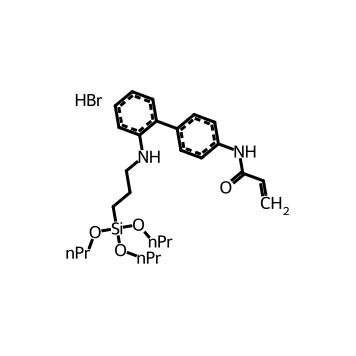 Br.C=CC(=O)Nc1ccc(-c2ccccc2NCCC[Si](OCCC)(OCCC)OCCC)cc1